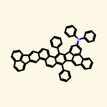 c1ccc(-c2c3c(c(-c4ccccc4)c4c2ccc2c5cc6c(cc5ccc24)-c2cccc4cccc-6c24)-c2cc(N(c4ccccc4)c4ccccc4)cc4c2c-3cc2ccccc24)cc1